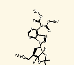 COCC1=C[C@@H](n2cnc3c(N(C(=O)OC(C)(C)C)C(=O)OC(C)(C)C)ncnc32)[C@@H]2OC(C)(C)O[C@H]12